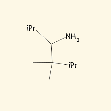 CC(C)C(N)C(C)(C)C(C)C